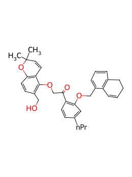 CCCc1ccc(C(=O)COc2c(CO)ccc3c2C=CC(C)(C)O3)c(OCc2cccc3c2C=CCC3)c1